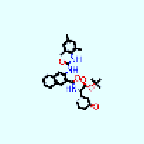 Cc1cc(C)c(NC(=O)Nc2cc3ccccc3cc2C(=O)N[C@H](C(=O)OC(C)(C)C)[C@H]2CCCC(=O)C2)c(C)c1